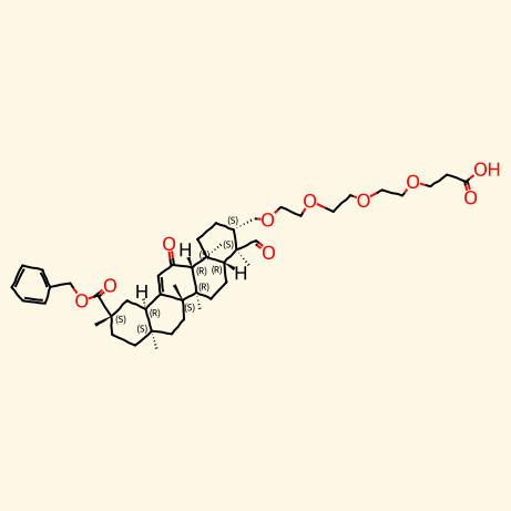 C[C@]1(C(=O)OCc2ccccc2)CC[C@]2(C)CC[C@]3(C)C(=CC(=O)[C@@H]4[C@@]5(C)CC[C@H](COCCOCCOCCOCCC(=O)O)[C@@](C)(C=O)[C@@H]5CC[C@]43C)[C@@H]2C1